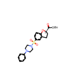 CC(C)COC(=O)[C@H]1CCc2cc(S(=O)(=O)N3CCN(c4ccccc4)CC3)ccc2O1